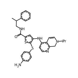 CC(CNC(=O)c1cc(Nc2ccnc3c2C=CN(C(C)C)C3)c(Sc2ccc(N)cc2)s1)c1ccccc1